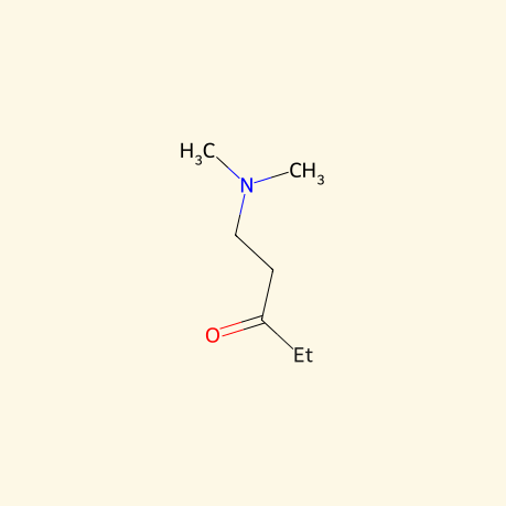 CCC(=O)CCN(C)C